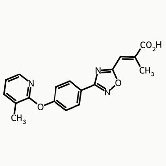 CC(=Cc1nc(-c2ccc(Oc3ncccc3C)cc2)no1)C(=O)O